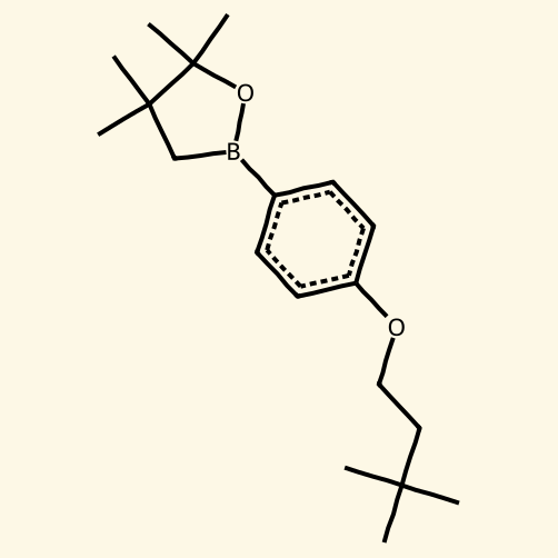 CC(C)(C)CCOc1ccc(B2CC(C)(C)C(C)(C)O2)cc1